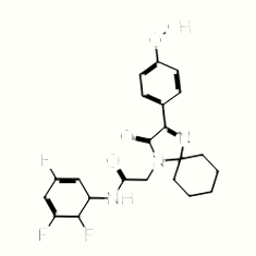 COc1ccc(C2=NC3(CCCCC3)N(CC(=O)NC3C=C(F)C=C(F)C3F)C2=O)cc1